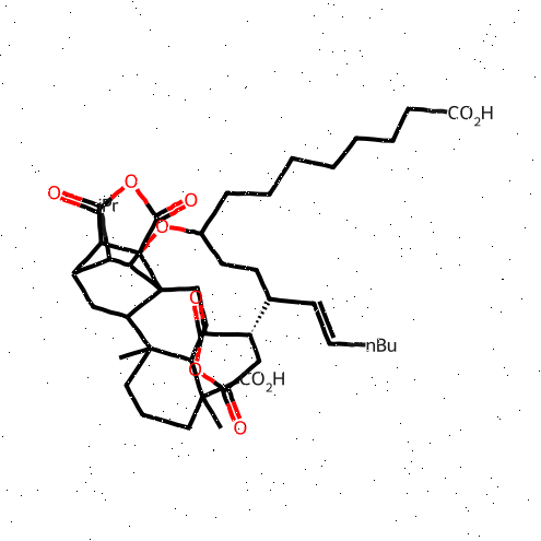 CCCC/C=C/C(CCC(CCCCCCCC(=O)O)OC1C(C(C)C)C2CC3C4(C)CCCC(C)(C(=O)O)C4CCC13C1C(=O)OC(=O)C21)[C@@H]1CC(=O)OC1=O